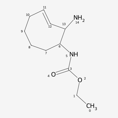 CCOC(=O)NC1CCCC/C=C/C1N